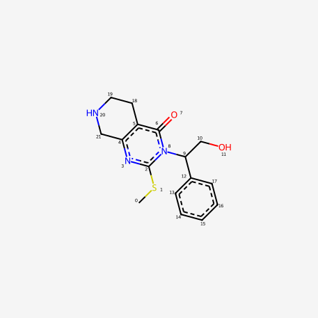 CSc1nc2c(c(=O)n1C(CO)c1ccccc1)CCNC2